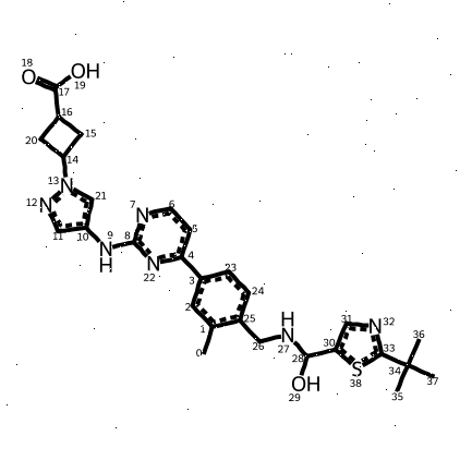 Cc1cc(-c2ccnc(Nc3cnn(C4CC(C(=O)O)C4)c3)n2)ccc1CNC(O)c1cnc(C(C)(C)C)s1